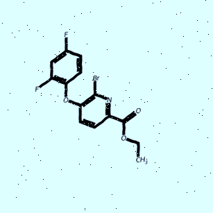 CCOC(=O)c1ccc(Oc2ccc(F)cc2F)c(Br)n1